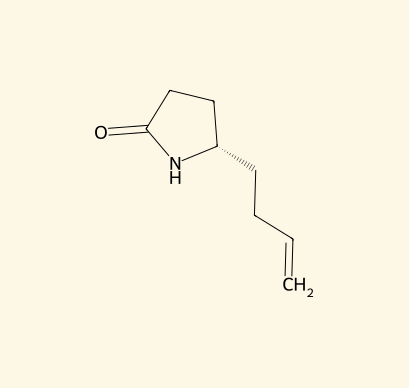 C=CCC[C@H]1CCC(=O)N1